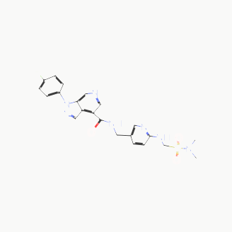 CN(C)S(=O)(=O)CNc1ccc(CNC(=O)c2cncc3c2cnn3-c2ccc(F)cc2)cn1